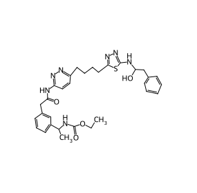 CCOC(=O)NC(C)c1cccc(CC(=O)Nc2ccc(CCCCc3nnc(NC(O)Cc4ccccc4)s3)nn2)c1